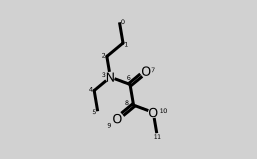 CCCN(CC)C(=O)C(=O)OC